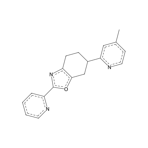 Cc1ccnc(C2CCc3nc(-c4ccccn4)oc3C2)c1